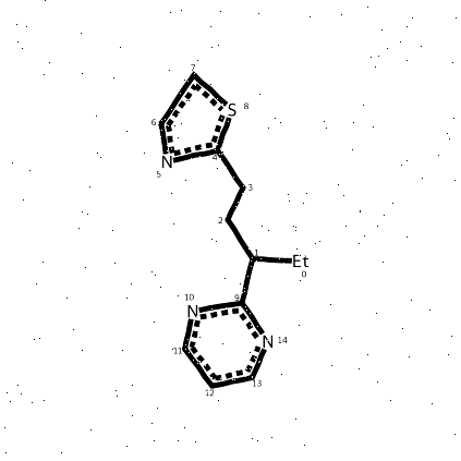 [CH2]CC(CCc1nccs1)c1ncccn1